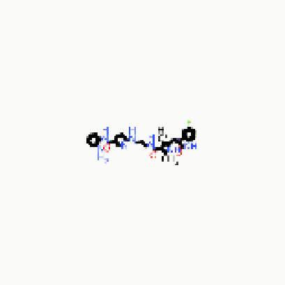 Cc1[nH]c(/C=C2\C(=O)Nc3ccc(F)cc32)c(C)c1C(=O)NCCCNc1ccc(C(=O)Nc2ccccc2N)cn1